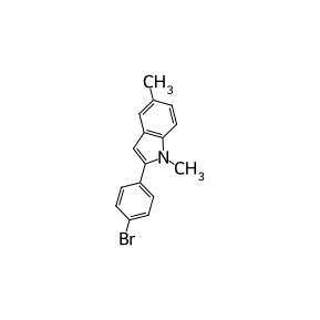 Cc1ccc2c(c1)cc(-c1ccc(Br)cc1)n2C